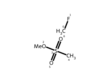 CF.COS(C)(=O)=O